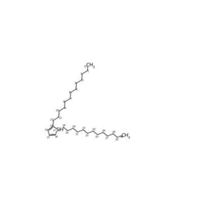 CCCCCCCCCCCCCC1=CC=C[SiH]1CCCCCCCCCCCCC